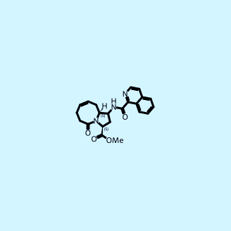 COC(=O)[C@@H]1CC(NC(=O)c2nccc3ccccc23)[C@@H]2CC=CCCC(=O)N12